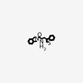 NC(Cc1csc2ccccc12)C(=O)N1Cc2ccccc2C1